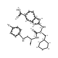 C[C@@H](CNc1ccc(F)cc1)NC(=O)[C@H](CC1CCCCC1)Nc1nc2ccc(C(=O)O)cc2o1